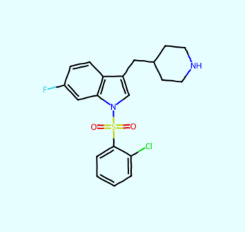 O=S(=O)(c1ccccc1Cl)n1cc(CC2CCNCC2)c2ccc(F)cc21